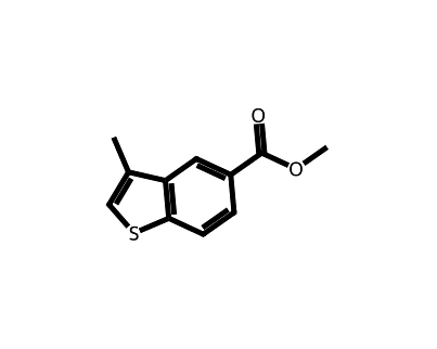 COC(=O)c1ccc2scc(C)c2c1